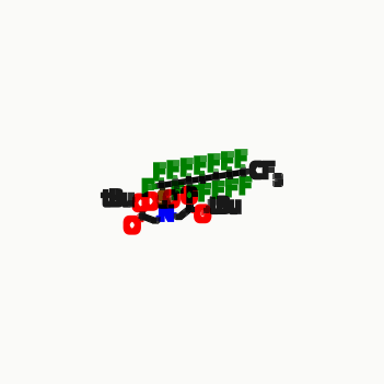 CC(C)(C)OC(=O)CN(CC(=O)OC(C)(C)C)S(=O)(=O)C(F)(F)C(F)(F)C(F)(F)C(F)(F)C(F)(F)C(F)(F)C(F)(F)C(F)(F)F